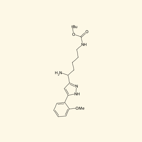 COc1ccccc1-c1cc(C(N)CCCCNC(=O)OC(C)(C)C)n[nH]1